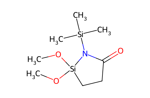 CO[Si]1(OC)CCC(=O)N1[Si](C)(C)C